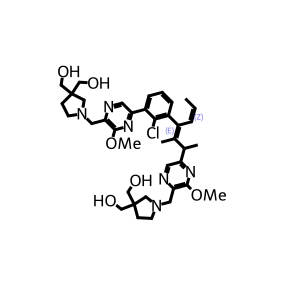 C/C=C\C(=C(\C)C(C)c1cnc(CN2CCC(CO)(CO)C2)c(OC)n1)c1cccc(-c2cnc(CN3CCC(CO)(CO)C3)c(OC)n2)c1Cl